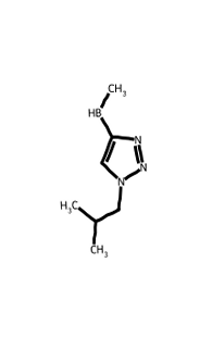 CBc1cn(CC(C)C)nn1